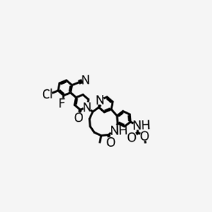 COC(=O)Nc1ccc2c(c1)NC(=O)C(C)CCCC(N1CCC(c3c(C#N)ccc(Cl)c3F)=CC1=O)c1cc-2ccn1